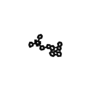 c1ccc(-c2nc(-c3ccccc3)nc(-c3cccc(-c4ccc5cc6c(cc5c4)C4(c5ccccc5-c5ccccc54)c4ccc5ccccc5c4-6)c3)n2)cc1